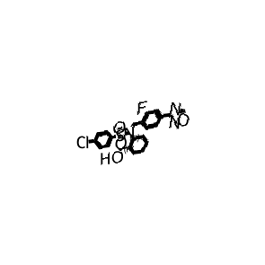 O=S(=O)(c1ccc(Cl)cc1)N(Cc1ccc(-c2ncon2)cc1F)[C@@H]1CCCC[C@H]1CO